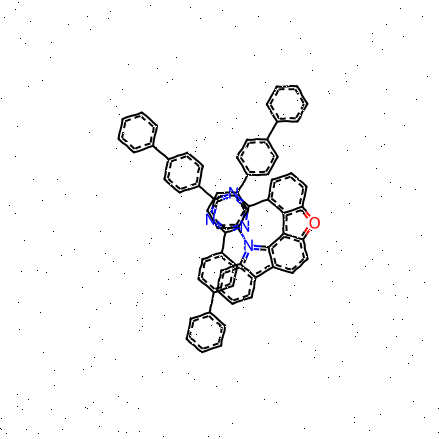 c1ccc(-c2ccc(-c3cccc(-n4c5ccccc5c5ccc6oc7cccc(-c8nc(-c9ccc(-c%10ccccc%10)cc9)nc(-c9ccc(-c%10ccccc%10)cc9)n8)c7c6c54)c3)cc2)cc1